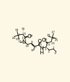 CCC[C@@H](NC(=O)/C(C)=C/CN(C)C(=O)[C@@H](C)C(C)(C)C)C(=O)CC(C)(C)C